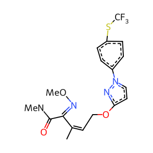 CNC(=O)C(=NOC)C(C)=CCOc1ccn(-c2ccc(SC(F)(F)F)cc2)n1